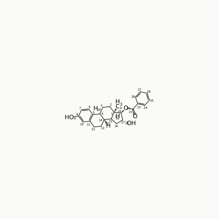 C[C@]12CC[C@@H]3c4ccc(O)cc4CC[C@H]3[C@@H]1C[C@@H](O)[C@@H]2OC(=O)c1ccccc1